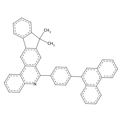 CC1(C)c2ccccc2-c2cc3c(cc21)c(-c1ccc(-c2cc4ccccc4c4ccccc24)cc1)nc1ccccc13